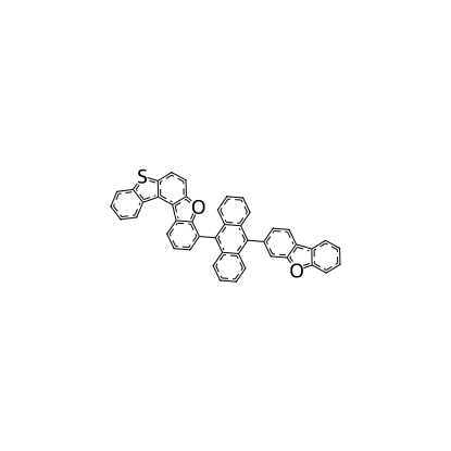 c1ccc2c(c1)oc1cc(-c3c4ccccc4c(-c4cccc5c4oc4ccc6sc7ccccc7c6c45)c4ccccc34)ccc12